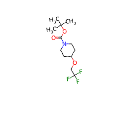 CC(C)(C)OC(=O)N1CCC(OCC(F)(F)F)CC1